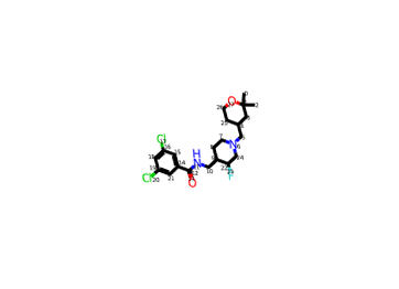 CC1(C)CC(CN2CCC(CNC(=O)c3cc(Cl)cc(Cl)c3)C(F)C2)CCO1